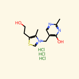 Cc1ncc(C[n+]2csc(CCO)c2C)c(O)n1.Cl.Cl.Cl